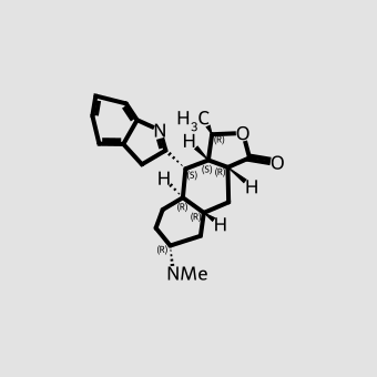 CN[C@@H]1CC[C@@H]2[C@@H](C1)C[C@H]1C(=O)O[C@H](C)[C@H]1[C@H]2C1=Nc2ccccc2C1